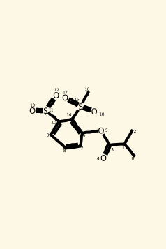 CC(C)C(=O)Oc1cccc([S](=O)=O)c1S(C)(=O)=O